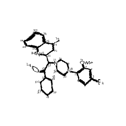 COc1cc(F)ccc1N1CCN(C(C(=O)C2CCCCC2)[C@@H]2C[C@H](C)c3ccccc3N2)CC1